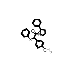 Cc1ccc(C(Sc2ccccc2)C(=O)N2CCCC2c2ccccc2)cc1